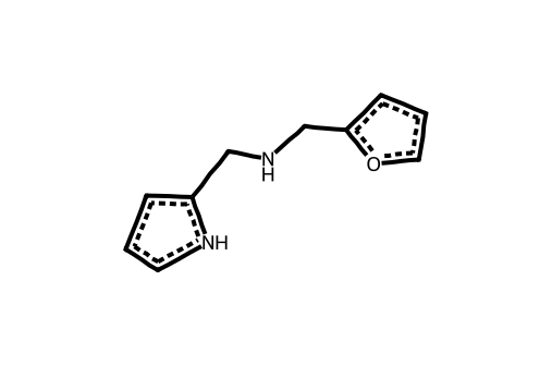 c1c[nH]c(CNCc2ccco2)c1